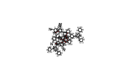 N#Cc1cc(C#N)cc(-c2ccc3c(c2)c2ccccc2n3-c2c(-c3ccccc3C#N)cc(-c3nc(-c4ccccc4)nc(-c4ccccc4)n3)cc2-c2ccc(-c3cccc(-c4cc(-c5nc(-c6ccccc6)nc(-c6ccccc6)n5)cc(-c5ccccc5C#N)c4-n4c5ccc(-c6cc(C#N)cc(C#N)c6)cc5c5cc(-c6cc(C#N)cc(C#N)c6)ccc54)c3C#N)cc2C#N)c1